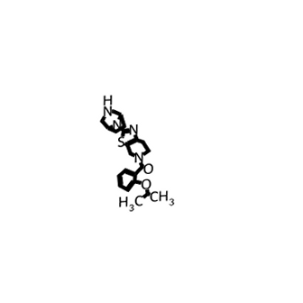 CC(C)Oc1ccccc1C(=O)N1CCc2nc(N3C4CCC3CNC4)sc2C1